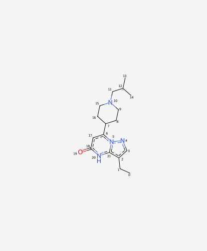 CCc1cnn2c(C3CCN(C[C](C)C)CC3)cc(=O)[nH]c12